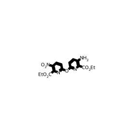 CCOC(=O)c1nc(Oc2ccc([N+](=O)[O-])c(C(=O)OCC)n2)ccc1N